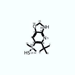 CC(C)(C)c1nc2c(cc1S(C)(C)S)OCN2